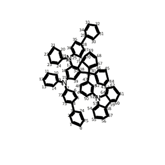 c1ccc(-c2ccc(N(c3ccccc3)c3cc(N(c4ccccc4)c4ccc(-c5ccccc5)cc4)c4c(c3)C(c3ccccc3)(c3cccc(-n5c6ccccc6c6ccccc65)c3)c3ccccc3-4)cc2)cc1